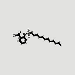 CCCCCCCCCCCCS(=O)(=O)Nc1ccccc1C(=O)Cl